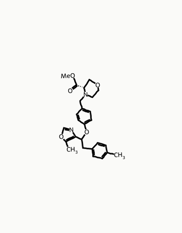 COC(=O)[C@@H]1COCCN1Cc1ccc(OC(Cc2ccc(C)cc2)c2ncoc2C)cc1